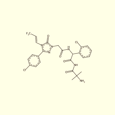 CC(C)(N)C(=O)NC(=O)C(NC(=O)Cn1nc(-c2ccc(Cl)cc2)n(/C=C/C(F)(F)F)c1=O)c1ccccc1Cl